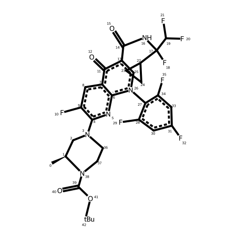 C[C@H]1CN(c2nc3c(cc2F)c(=O)c(C(=O)NC(F)(C(F)F)C2CC2)cn3-c2c(F)cc(F)cc2F)CCN1C(=O)OC(C)(C)C